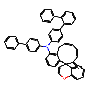 C=C1/C=C\C=C/Cc2c(N(c3ccc(-c4ccccc4)cc3)c3ccc(-c4ccccc4-c4ccccc4)cc3)cccc2C12c1ccccc1Oc1ccccc12